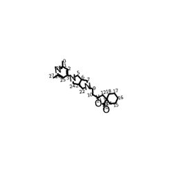 Cc1cc(N2CC3CN(CCC4CC5(CCCCC5)C(=O)O4)CC3C2)cc(C)n1